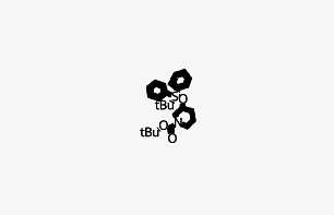 CC(C)(C)OC(=O)N1CCCC(O[Si](c2ccccc2)(c2ccccc2)C(C)(C)C)C1